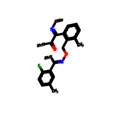 CNC(=O)/C(=N/OC)c1cccc(C)c1CO/N=C(\NC)c1cc(C)ccc1F